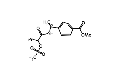 COC(=O)c1ccc([C@H](C)NC(=O)C(OS(C)(=O)=O)C(C)C)cc1